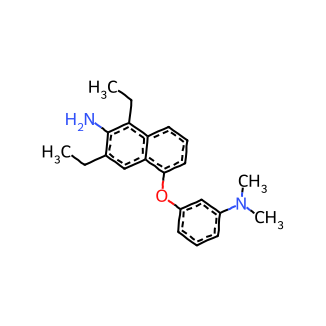 CCc1cc2c(Oc3cccc(N(C)C)c3)cccc2c(CC)c1N